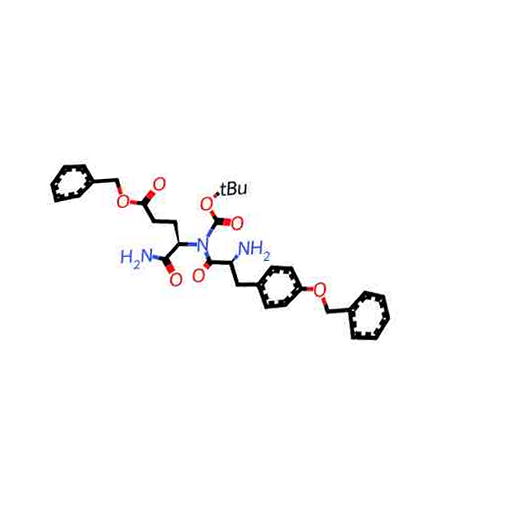 CC(C)(C)OC(=O)N(C(=O)[C@@H](N)Cc1ccc(OCc2ccccc2)cc1)[C@H](CCC(=O)OCc1ccccc1)C(N)=O